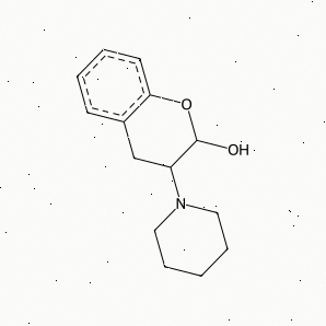 OC1Oc2ccccc2CC1N1CCCCC1